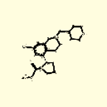 CC(C)(C)OC(=O)N1CCC[C@H]1c1cc(Cl)cc2c1CCN(CC1CCOCC1)C2